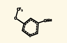 COc1c[c]cc(OC(F)(F)F)c1